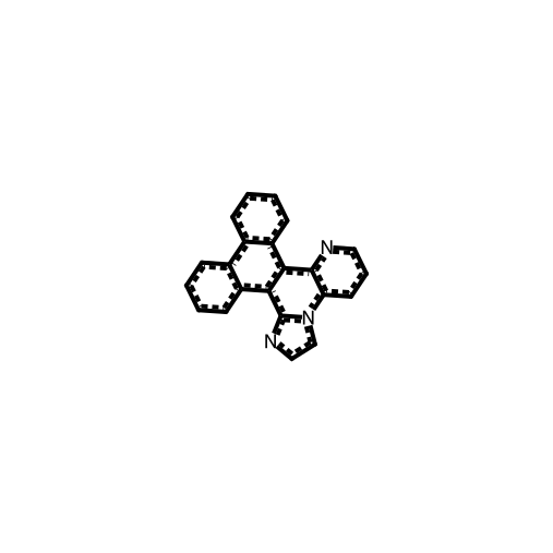 c1ccc2c(c1)c1ccccc1c1c2c2ncccc2n2ccnc12